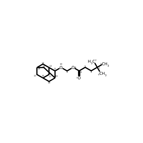 CC(C)(C)CCC(=O)OCOC1C2CC3CC(C2)CC1C3